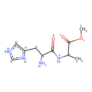 COC(=O)C(C)NC(=O)C(N)Cc1c[nH]cn1